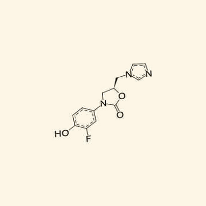 O=C1O[C@H](Cn2ccnc2)CN1c1ccc(O)c(F)c1